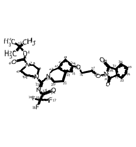 CC(C)(C)OC(=O)N1CCN(/C(=N/C(=O)C(F)(F)F)N2CCc3cc(OCCON4C(=O)c5ccccc5C4=O)ccc3C2)CC1